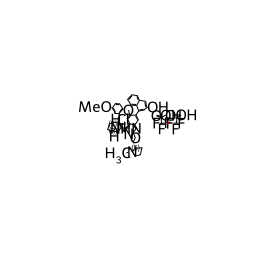 COc1ccc(Oc2cc3c(N4C[C@H]5CC[C@@H](C4)N5)nc(OC[C@@H]4CCCN4C)nc3cc2-c2cc(O)cc3ccccc23)c(Cl)c1.O=C(O)C(F)(F)F.O=C(O)C(F)(F)F